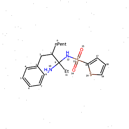 CCCCCC(Cc1ccccc1)C(N)(CC)NS(=O)(=O)c1cccs1